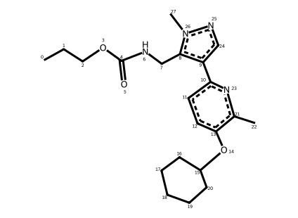 CCCOC(=O)NCc1c(-c2ccc(OC3CCCCC3)c(C)n2)cnn1C